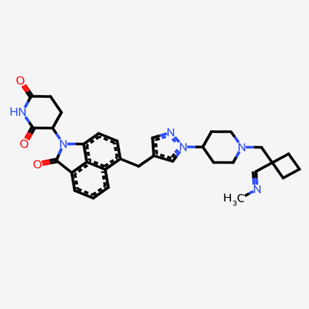 C/N=C/C1(CN2CCC(n3cc(Cc4ccc5c6c(cccc46)C(=O)N5C4CCC(=O)NC4=O)cn3)CC2)CCC1